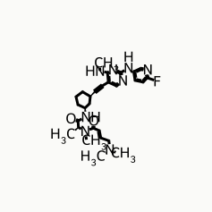 CNc1nc(Nc2ccc(F)nc2)ncc1C#C[C@@H]1CCC[C@H](NC(=O)[C@H](C)N(C)C(=O)/C=C/CN(C)C)C1